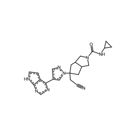 N#CCC1(n2cc(-c3ncnc4[nH]ccc34)cn2)CC2CN(C(=O)NC3CC3)CC2C1